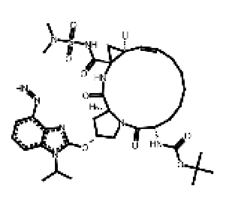 CC(C)n1c(O[C@@H]2C[C@H]3C(=O)N[C@]4(C(=O)NS(=O)(=O)N(C)C)C[C@H]4/C=C\CCCCC[C@H](NC(=O)OC(C)(C)C)C(=O)N3C2)nc2c(N=N)cccc21